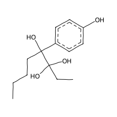 CCCCC(O)(c1ccc(O)cc1)C(O)(O)CC